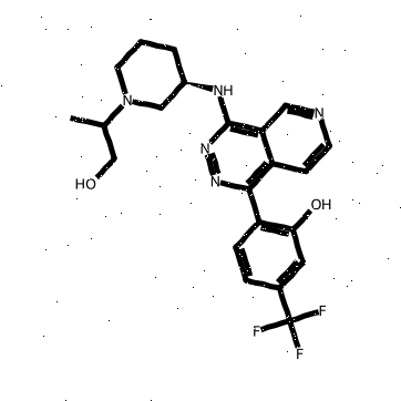 CC(CO)N1CCC[C@@H](Nc2nnc(-c3ccc(C(F)(F)F)cc3O)c3ccncc23)C1